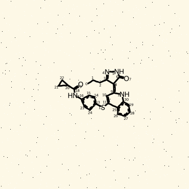 CCCC1=NNC(=O)/C1=C1/C=C(Sc2ccc(NC(=O)C3CC3)cc2)c2ccccc2N1